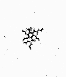 C=CCNC(=O)c1c(CC=C)c(C(=O)N(CC=C)CC=C)c(CC=C)c(CC=C)c1C(N)=O